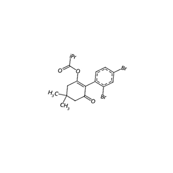 CC(C)C(=O)OC1=C(c2ccc(Br)cc2Br)C(=O)CC(C)(C)C1